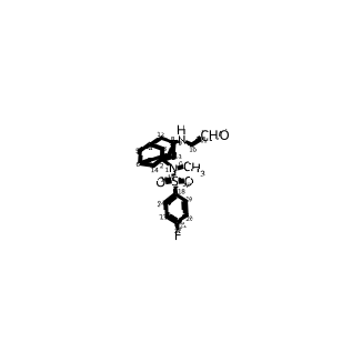 CN(C12CC3CC(CC(NCC=O)(C3)C1)C2)S(=O)(=O)c1ccc(F)cc1